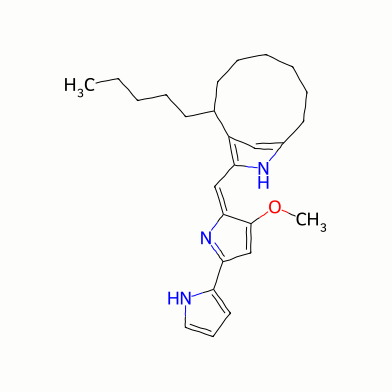 CCCCCC1CCCCCCc2cc1c(/C=C1/N=C(c3ccc[nH]3)C=C1OC)[nH]2